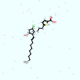 CCCCCCCCC=CC1[C@@H](CCCc2ccc(C(=O)O)s2)C(Cl)C[C@H]1O